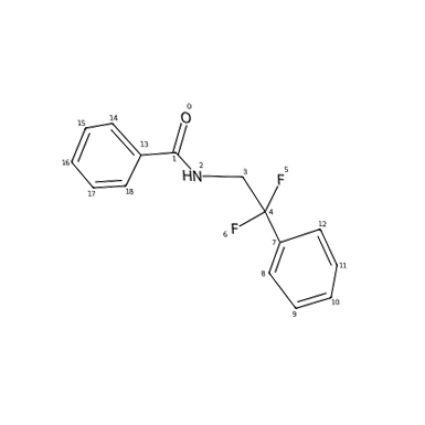 O=C(NCC(F)(F)c1ccccc1)c1ccccc1